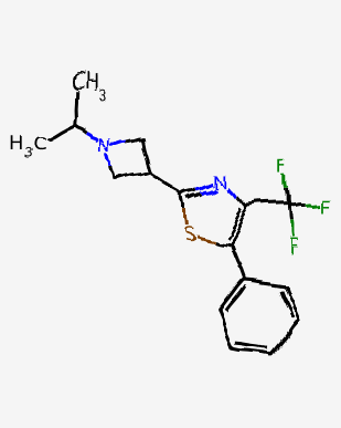 CC(C)N1CC(c2nc(C(F)(F)F)c(-c3ccccc3)s2)C1